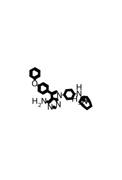 CN1C2CCC1CC(N[C@H]1CC[C@@H](n3cc(-c4ccc(Oc5ccccc5)cc4)c4c(N)ncnc43)CC1)C2